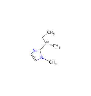 CC[C@H](C)c1nccn1C